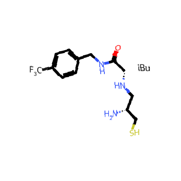 CC[C@H](C)[C@H](NC[C@@H](N)CS)C(=O)NCc1ccc(C(F)(F)F)cc1